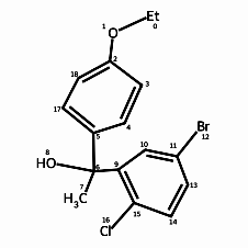 CCOc1ccc(C(C)(O)c2cc(Br)ccc2Cl)cc1